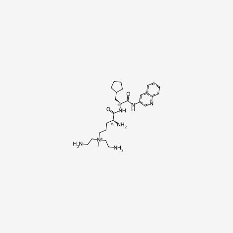 C[N+](CCN)(CCN)CCC[C@H](N)C(=O)N[C@@H](CC1CCCC1)C(=O)Nc1cnc2ccccc2c1